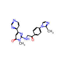 Cc1nccn1-c1ccc(C(=O)CNc2nc(-c3ccncn3)cc(=O)n2C)cc1